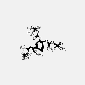 CCC(C)(C)OC(=O)Oc1ccc(C(CC(C)OC(=O)C(C)(C)C)[C@H](N)C(=O)O)cc1OC(=O)OC(C)(C)CC